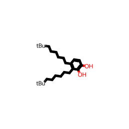 CC(C)(C)CCCCCCc1ccc(O)c(O)c1CCCCCCC(C)(C)C